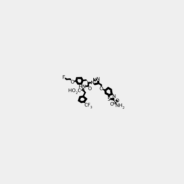 NS(=O)(=O)c1nc2ccc(OCc3cn([C@@H](Cc4ccc(OCCF)cc4)C(=O)N[C@@H](Cc4cccc(C(F)(F)F)c4)C(=O)O)nn3)cc2s1